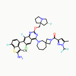 Cc1cc(C(=O)N2CC3(CCCCN(c4nc(OC[C@@]56CCCN5C[C@H](F)C6)nc5c(F)c(-c6ccc(F)c7sc(N)c(C#N)c67)c(Cl)cc45)C3)C2)nn1C(F)F